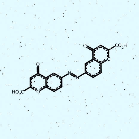 O=C(O)c1cc(=O)c2cc(N=Nc3ccc4oc(C(=O)O)cc(=O)c4c3)ccc2o1